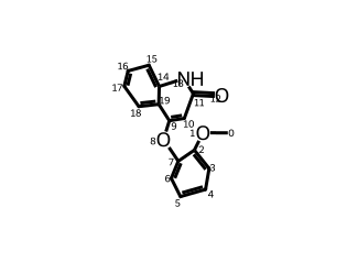 COc1ccccc1Oc1cc(=O)[nH]c2ccccc12